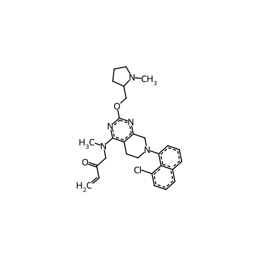 C=CC(=O)CN(C)c1nc(OCC2CCCN2C)nc2c1CCN(c1cccc3cccc(Cl)c13)C2